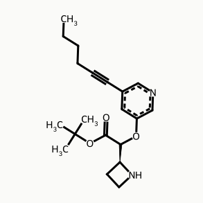 CCCCC#Cc1cncc(OC(C(=O)OC(C)(C)C)[C@@H]2CCN2)c1